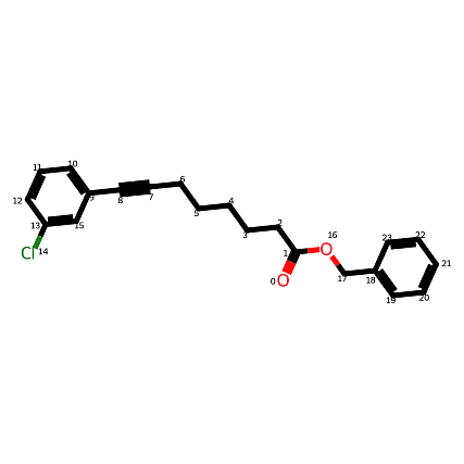 O=C(CCCCCC#Cc1cccc(Cl)c1)OCc1ccccc1